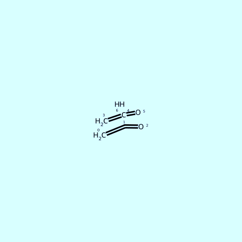 C=C=O.C=C=O.[HH]